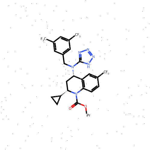 CC(C)OC(=O)N1c2ccc(C(F)(F)F)cc2[C@@H](N(Cc2cc(C(F)(F)F)cc(C(F)(F)F)c2)c2nnn[nH]2)C[C@H]1C1CC1